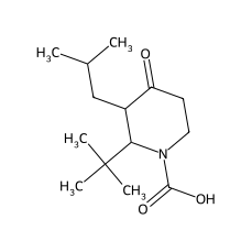 CC(C)CC1C(=O)CCN(C(=O)O)C1C(C)(C)C